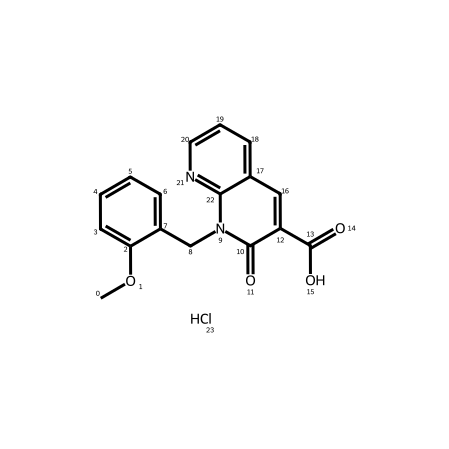 COc1ccccc1Cn1c(=O)c(C(=O)O)cc2cccnc21.Cl